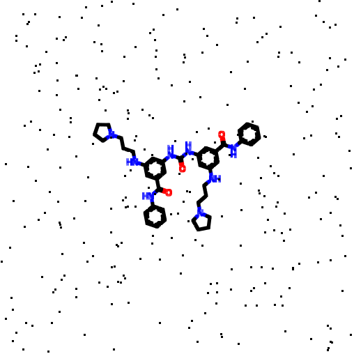 O=C(Nc1cc(NCCCN2CCCC2)cc(C(=O)Nc2ccccc2)c1)Nc1cc(NCCCN2CCCC2)cc(C(=O)Nc2ccccc2)c1